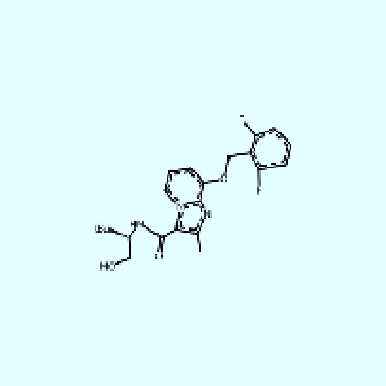 Cc1nc2c(OCc3c(F)cccc3F)cccn2c1C(=O)N[C@@H](CO)C(C)(C)C